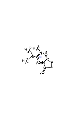 C/N=C(/ON1C(=O)CCC1=O)C(C)C